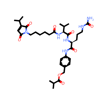 CC(C)C(=O)OCc1ccc(NC(=O)[C@H](CCCNC(N)=O)NC(=O)[C@@H](NC(=O)CCCCCN2C(=O)C=C(C(C)C)C2=O)C(C)C)cc1